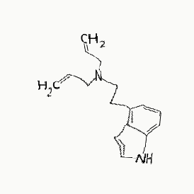 C=CCN(CC=C)CCc1cccc2[nH]ccc12